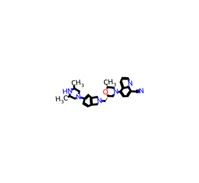 CC1CN(c2ccc3c(c2)CN(C[C@H]2CN(c4ccc(C#N)c5ncccc45)C[C@@H](C)O2)C3)CC(C)N1